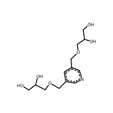 OCC(O)COCc1cncc(COCC(O)CO)c1